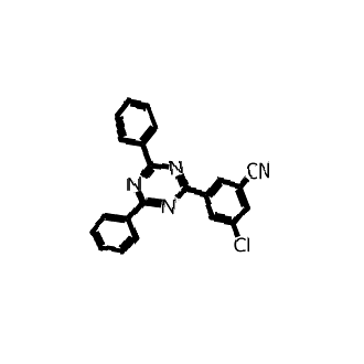 N#Cc1cc(Cl)cc(-c2nc(-c3ccccc3)nc(-c3ccccc3)n2)c1